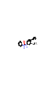 Cc1cc(NC(=O)Nc2ccccc2)ccc1C(C)C